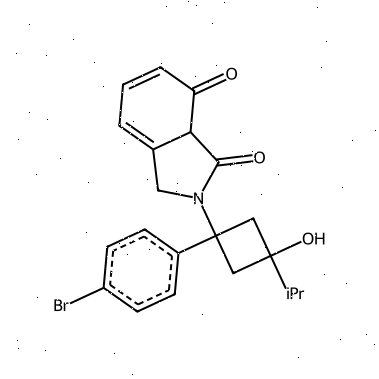 CC(C)C1(O)CC(c2ccc(Br)cc2)(N2CC3=CC=CC(=O)C3C2=O)C1